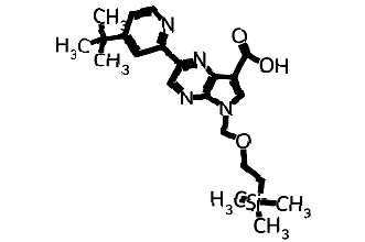 CC(C)(C)c1ccnc(-c2cnc3c(n2)c(C(=O)O)cn3COCC[Si](C)(C)C)c1